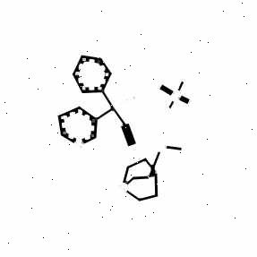 CO[C@]1(C#C[C@](O)(c2ccccc2)c2cccnc2)CN2CCC1CC2.O=S(=O)(O)O